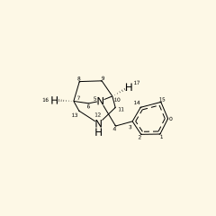 c1ccc(CN2C[C@@H]3CC[C@H]2CNC3)cc1